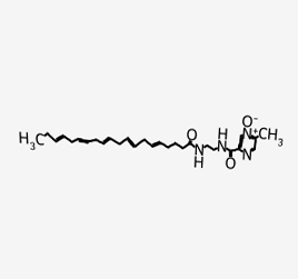 CCC=CCC=CCC=CCC=CCC=CCCCC(=O)NCCNC(=O)c1c[n+]([O-])c(C)cn1